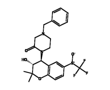 CC1(C)Oc2ccc([S+]([O-])C(F)(F)F)cc2[C@H](N2CCN(Cc3ccccc3)CC2=O)[C@H]1O